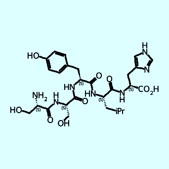 CC(C)C[C@H](NC(=O)[C@H](Cc1ccc(O)cc1)NC(=O)[C@H](CO)NC(=O)[C@@H](N)CO)C(=O)N[C@@H](Cc1c[nH]cn1)C(=O)O